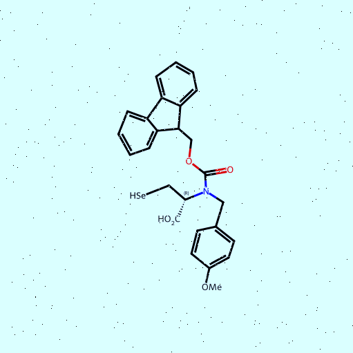 COc1ccc(CN(C(=O)OCC2c3ccccc3-c3ccccc32)[C@@H](C[SeH])C(=O)O)cc1